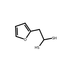 SC(S)Cc1ccco1